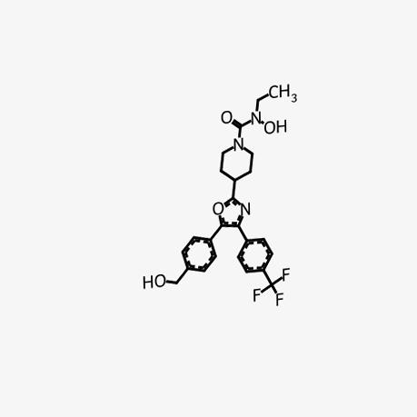 CCN(O)C(=O)N1CCC(c2nc(-c3ccc(C(F)(F)F)cc3)c(-c3ccc(CO)cc3)o2)CC1